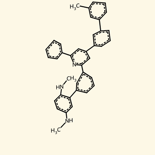 CNc1ccc(NC)c(-c2cccc(-c3cc(-c4cccc(-c5cccc(C)c5)c4)cc(-c4ccccc4)n3)c2)c1